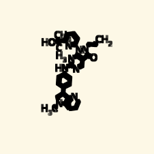 C=CCn1c(=O)c2cnc(Nc3ccc(C4CN(C)C5C6CCN(CC6)C45)cc3)nc2n1-c1cccc(C(C)(C)O)n1